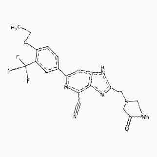 CCOc1ccc(-c2cc3[nH]c(CN4CNC(=O)C4)nc3c(C#N)n2)cc1C(F)(F)F